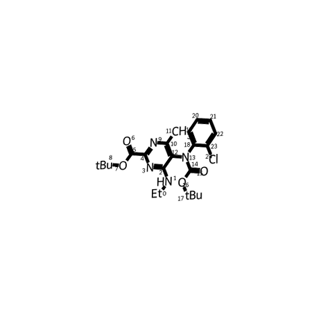 CCNc1nc(C(=O)OC(C)(C)C)nc(C)c1N(C(=O)OC(C)(C)C)c1ccccc1Cl